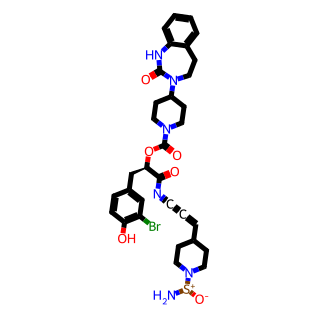 N[S+]([O-])N1CCC(C=C=C=NC(=O)[C@@H](Cc2ccc(O)c(Br)c2)OC(=O)N2CCC(N3CCc4ccccc4NC3=O)CC2)CC1